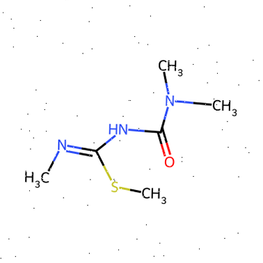 CN=C(NC(=O)N(C)C)SC